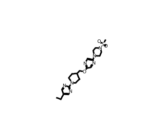 CCc1cnc(N2CCC(COc3cnc(N4CCN(S(C)(=O)=O)CC4)cn3)CC2)nc1